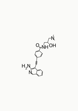 CN(C)CC(O)CNC(=O)c1ccc(C#Cc2c(N)ncc3ccccc23)cc1